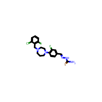 NC(=S)NN=Cc1ccc(N2CCCN(Cc3c(F)cccc3Cl)CC2)c(F)c1